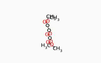 CCCO[C@@H](C)C(=O)Oc1ccc(C(=O)Oc2ccc(-c3ccc(C(=O)OC[C@@H](C)CC)cc3)cc2)cc1